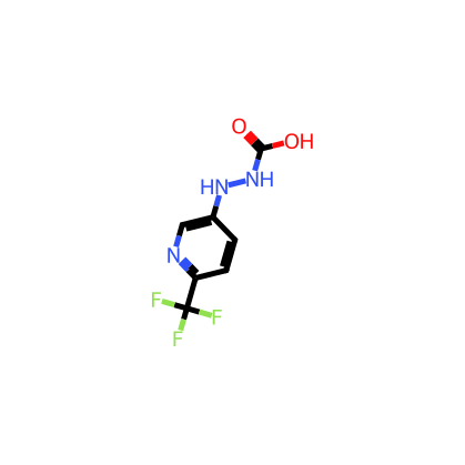 O=C(O)NNc1ccc(C(F)(F)F)nc1